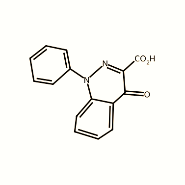 O=C(O)c1nn(-c2ccccc2)c2ccccc2c1=O